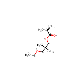 C=C(C)C(=O)OCC(C)(C)COCC